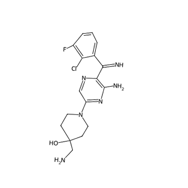 N=C(c1cccc(F)c1Cl)c1ncc(N2CCC(O)(CN)CC2)nc1N